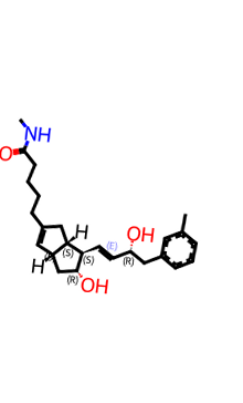 CNC(=O)CCCCC1=C[C@H]2C[C@@H](O)[C@H](/C=C/[C@H](O)Cc3cccc(C)c3)[C@H]2C1